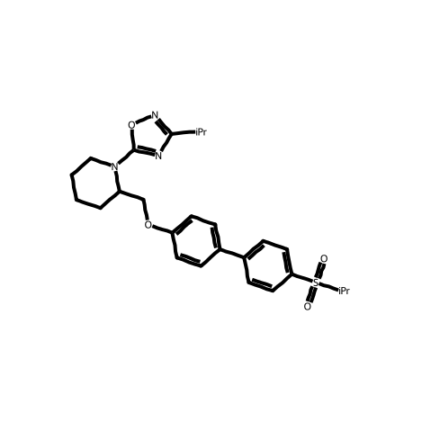 CC(C)c1noc(N2CCCCC2COc2ccc(-c3ccc(S(=O)(=O)C(C)C)cc3)cc2)n1